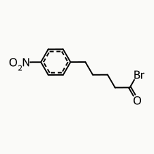 O=C(Br)CCCCc1ccc([N+](=O)[O-])cc1